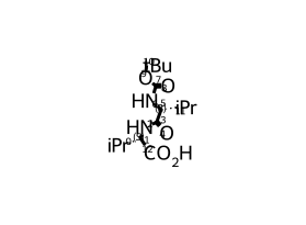 CC(C)[C@H](NC(=O)[C@H](NC(=O)OC(C)(C)C)C(C)C)C(=O)O